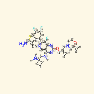 CN(CC1(N(C)C)CCC1)c1nc(OCC2(CN3CCOC4(CC4)C3)CC2)nc2c(F)c(-c3cc(F)c(F)c4sc(N)c(C#N)c34)ncc12